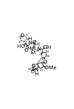 CCN1C(=O)[C@@H]([C@H](O)C2CCOCC2)NC(=O)C12CCN(Cc1ccc(Oc3ccc(NS(C)(=O)=O)cc3OC)cc1)CC2.Cl